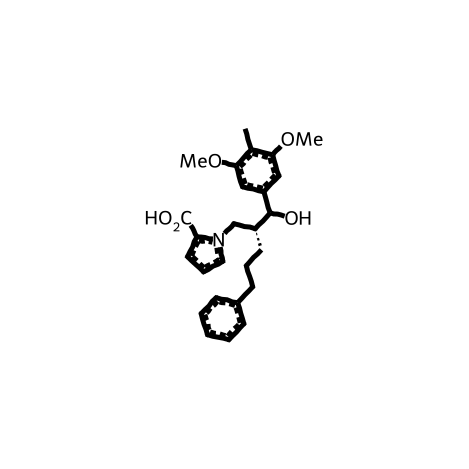 COc1cc(C(O)[C@H](CCCc2ccccc2)Cn2cccc2C(=O)O)cc(OC)c1C